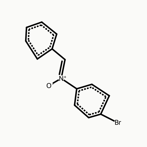 [O-][N+](=Cc1ccccc1)c1ccc(Br)cc1